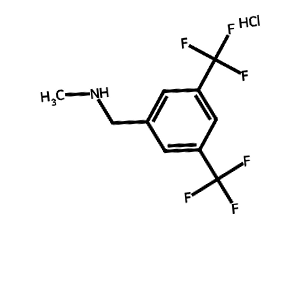 CNCc1cc(C(F)(F)F)cc(C(F)(F)F)c1.Cl